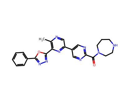 Cc1ncc(-c2cnc(C(=O)N3CCCNCC3)nc2)nc1-c1nnc(-c2ccccc2)o1